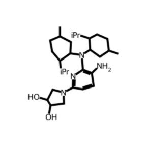 CC1CCC(C(C)C)C(N(c2nc(N3CC(O)C(O)C3)ccc2N)C2CC(C)CCC2C(C)C)C1